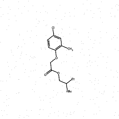 CCCCC(CC)COC(=O)COc1ccc(Cl)cc1C